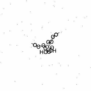 Cc1ccc(OCCOC(=O)CC(CC(=O)OCCOc2ccc(C)cc2)=C(CC(=O)O)C(=O)O)cc1